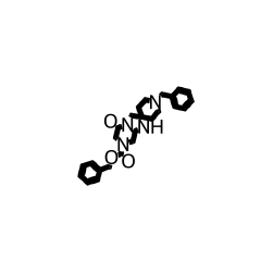 O=C(OCc1ccccc1)N1CC(=O)N2CC3(CCN(Cc4ccccc4)CC3)NC2C1